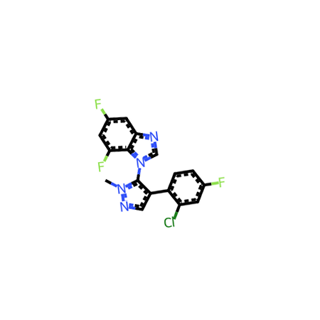 Cn1ncc(-c2ccc(F)cc2Cl)c1-n1cnc2cc(F)cc(F)c21